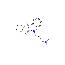 CN(C)CCCN(C)C(=O)C(O)(c1ccccc1)C1CCCC1